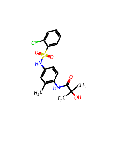 Cc1cc(NS(=O)(=O)c2ccccc2Cl)ccc1NC(=O)C(C)(O)C(F)(F)F